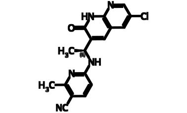 Cc1nc(N[C@@H](C)c2cc3cc(Cl)cnc3[nH]c2=O)ccc1C#N